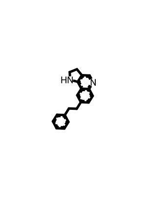 c1ccc(CCc2ccc3ncc4c(c3c2)NCC4)cc1